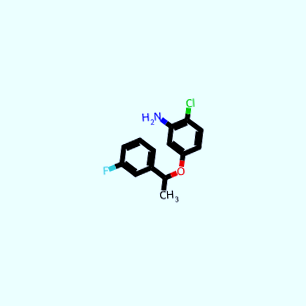 CC(Oc1ccc(Cl)c(N)c1)c1cccc(F)c1